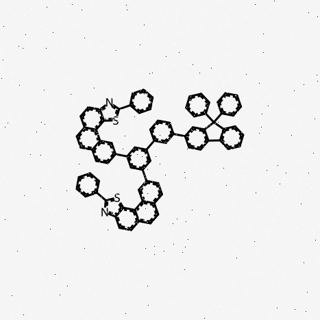 c1ccc(-c2nc3ccc4ccc5ccc(-c6cc(-c7cccc(-c8ccc9c(c8)C(c8ccccc8)(c8ccccc8)c8ccccc8-9)c7)cc(-c7ccc8ccc9ccc%10nc(-c%11ccccc%11)sc%10c9c8c7)c6)cc5c4c3s2)cc1